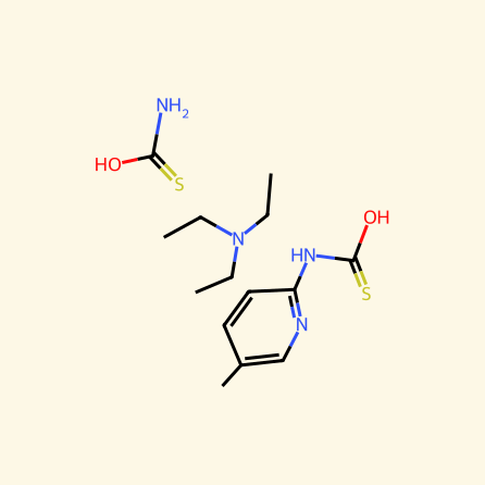 CCN(CC)CC.Cc1ccc(NC(O)=S)nc1.NC(O)=S